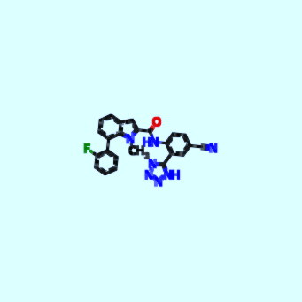 Cn1c(C(=O)Nc2ccc(C#N)cc2-c2nnn[nH]2)cc2cccc(-c3ccccc3F)c21